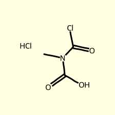 CN(C(=O)O)C(=O)Cl.Cl